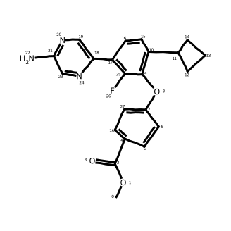 COC(=O)c1ccc(Oc2c(C3CCC3)ccc(-c3cnc(N)cn3)c2F)cc1